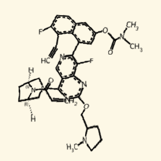 C#Cc1c(F)ccc2cc(OC(=O)N(C)C)cc(-c3ncc4c(N5C[C@H]6CC[C@@H](C5)N6C(=O)C=C)nc(OCC5CCCN5C)nc4c3F)c12